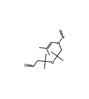 C=NN(C=C(C)C)CC(C)(C)OC(C)(C)CC=O